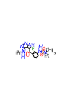 CCN(C)S(=O)(=O)Nc1cccc(C(=O)c2c[nH]c3ncnc(NC(C)C)c23)c1F